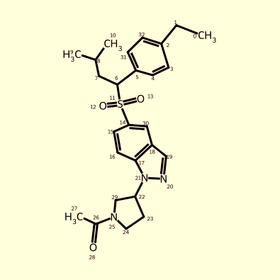 CCc1ccc(C(CC(C)C)S(=O)(=O)c2ccc3c(cnn3C3CCN(C(C)=O)C3)c2)cc1